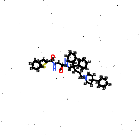 O=C(CNC(=O)c1cc2ccccc2s1)NCC(CCCN1CCC(c2ccccc2)CC1)(c1ccccc1)c1ccccc1